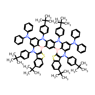 CC(C)(C)c1ccc(N2c3cc4c(cc3B3c5sc6ccc(C(C)(C)C)cc6c5N(c5ccc(C(C)(C)C)cc5)c5cc(N(c6ccccc6)c6ccccc6)cc2c53)B2c3sc5ccc(C(C)(C)C)cc5c3N(c3ccc(C(C)(C)C)cc3)c3cc(N(c5ccccc5)c5ccccc5)cc(c32)N4c2ccc(C(C)(C)C)cc2)cc1